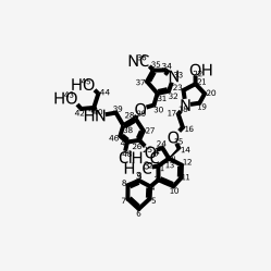 CC1(C)C(c2ccccc2)=CC=C[C@@]1(COCCN1CCC(O)C1)COc1cc(OCc2cncc(C#N)c2)c(CNC(CO)CO)cc1Cl